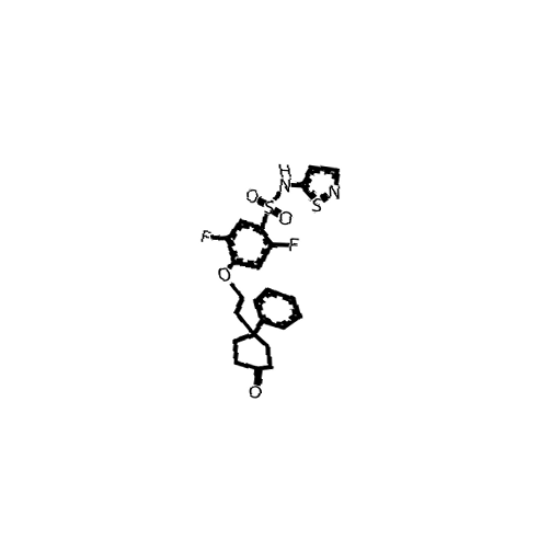 O=C1CCC(CCOc2cc(F)c(S(=O)(=O)Nc3ccns3)cc2F)(c2ccccc2)CC1